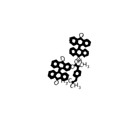 CC(C)Cc1ccc(C(C)C(=O)O)cc1.O=C1c2ccccc2C(=C2c3ccccc3C(=O)c3ccccc32)c2ccccc21.O=C1c2ccccc2C(=C2c3ccccc3C(=O)c3ccccc32)c2ccccc21